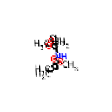 Bc1cc(/C=C/NC(=O)C(OCC)c2ccc(CC(C)C)cc2)cc(OC)c1OC